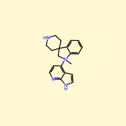 C[N+]1(c2ccnc3[nH]ccc23)CC2(CCNCC2)c2ccccc21